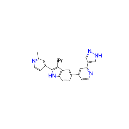 Cc1cc(-c2[nH]c3ccc(-c4ccnc(-c5cn[nH]c5)c4)cc3c2C(C)C)ccn1